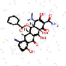 C[C@@H]1c2c(I)ccc(O)c2C(=O)C2=C(O)[C@@]3(O)C(=O)C(C(N)=O)=C(O)[C@H](N(C)C)[C@H]3[C@H](OC(=O)C3CCCCC3)[C@H]21